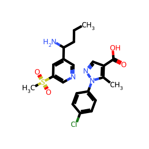 CCCC(N)c1cncc(S(C)(=O)=O)c1.Cc1c(C(=O)O)cnn1-c1ccc(Cl)cc1